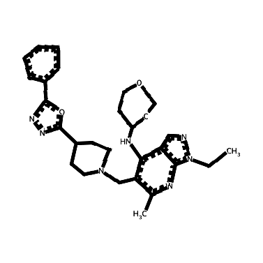 CCn1ncc2c(NC3CCOCC3)c(CN3CCC(c4nnc(-c5ccccc5)o4)CC3)c(C)nc21